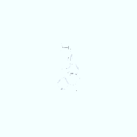 CCC(Oc1ccc(/N=C/N(C)C(C)C)c(C)n1)c1ccccc1